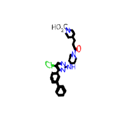 O=C(O)N1CCC(CCC(=O)N2CCC(Nc3ncc(Cl)c(-c4cccc(-c5ccccc5)c4)n3)CC2)CC1